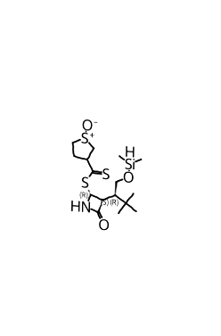 C[SiH](C)OC[C@H]([C@H]1C(=O)N[C@@H]1SC(=S)C1CC[S+]([O-])C1)C(C)(C)C